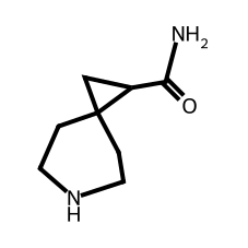 NC(=O)C1CC12CCNCC2